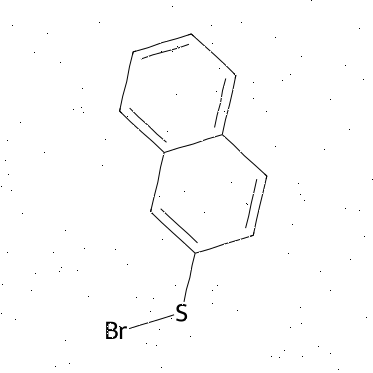 BrSc1ccc2ccccc2c1